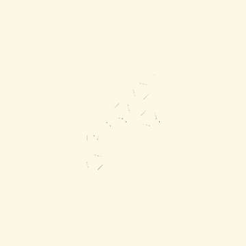 Fc1ccc(-c2ccc(N3CCN[C@@H](Cc4ccccc4)C3)nc2-c2ccncc2)cc1